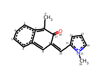 CC1=c2ccccc2=C/C(=C/c2cccn2C)C1=O